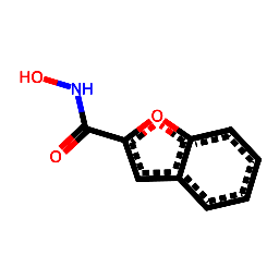 O=C(NO)c1cc2ccccc2o1